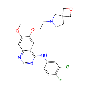 COc1cc2ncnc(Nc3ccc(F)c(Cl)c3)c2cc1OCCN1CCC2(COC2)C1